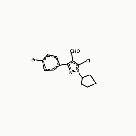 O=Cc1c(-c2ccc(Br)cc2)nn(C2CCCC2)c1Cl